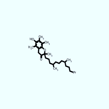 Cc1c(C)c2c(c(C)c1O)CC(=O)C(C)(CCCC(C)CCCC(C)CCCC(C)C)O2